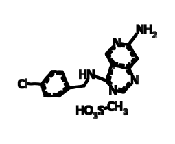 CS(=O)(=O)O.Nc1cc2ncnc(NCc3ccc(Cl)cc3)c2cn1